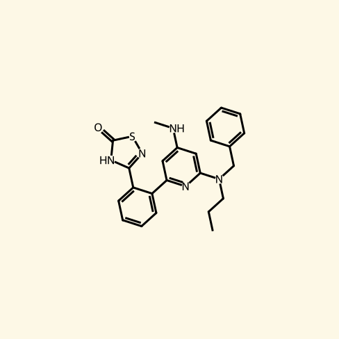 CCCN(Cc1ccccc1)c1cc(NC)cc(-c2ccccc2-c2nsc(=O)[nH]2)n1